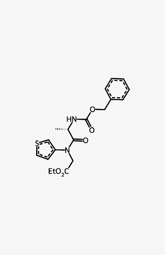 CCOC(=O)CN(C(=O)[C@H](C)NC(=O)OCc1ccccc1)c1ccsc1